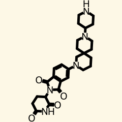 O=C1CCC(N2C(=O)c3ccc(N4CCCC5(CCN(C6CCNCC6)CC5)C4)cc3C2=O)C(=O)N1